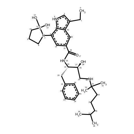 CCc1c[nH]c2c(N3CCCS3(O)O)cc(C(=O)N[C@@H](Cc3ccccc3)[C@@H](O)CNC(C)(C)CCCC(C)C)cc12